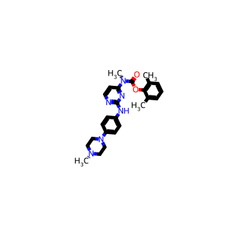 Cc1cccc(C)c1OC(=O)N(C)c1ccnc(Nc2ccc(N3CCN(C)CC3)cc2)n1